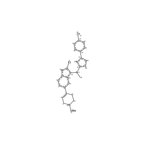 CCc1nc2ccc(C3=CCN(SC)CC3)cn2c1N(C)c1nc(-c2ccc(C(F)(F)F)cc2)cs1